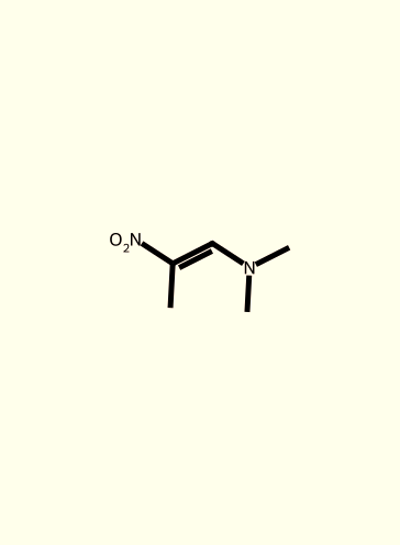 CC(=CN(C)C)[N+](=O)[O-]